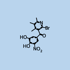 Cc1nc(Br)c(C(=O)c2cc(O)c(O)c([N+](=O)[O-])c2)c(C)c1C